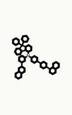 c1ccc(C2(c3ccccc3)c3ccccc3-c3c(N(c4ccc(-c5ccc(-c6cccc7ccccc67)cc5)cc4)c4cccc(-c5ccc6ccccc6c5)c4)cccc32)cc1